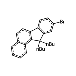 CCCCC1(CCCC)c2cc(Br)ccc2-c2ccc3ccccc3c21